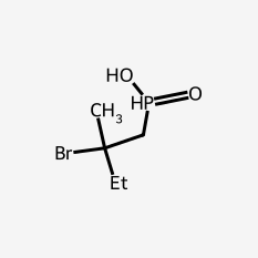 CCC(C)(Br)C[PH](=O)O